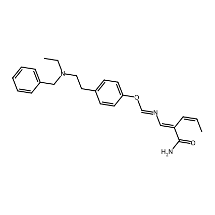 C\C=C/C(=C\N=C\Oc1ccc(CCN(CC)Cc2ccccc2)cc1)C(N)=O